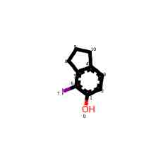 Oc1ccc2c(c1I)CCC2